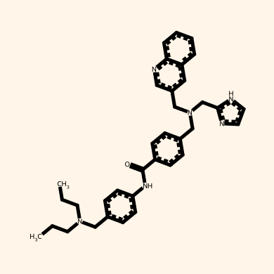 CCCN(CCC)Cc1ccc(NC(=O)c2ccc(CN(Cc3cnc4ccccc4c3)Cc3ncc[nH]3)cc2)cc1